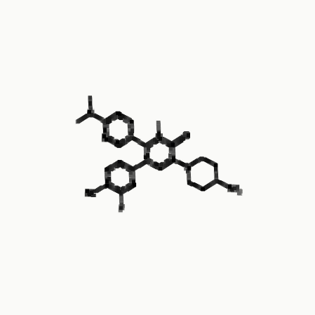 CN(C)c1ccc(-c2c(-c3ccc(C#N)c(F)c3)cc(N3CCC(N)CC3)c(=O)n2C)cn1